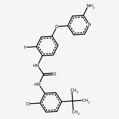 CC(C)(C)c1ccc(Cl)c(NC(=O)Nc2ccc(Oc3ccnc(N)c3)cc2F)c1